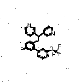 Fc1ccc(CC(c2cccnc2)c2cccnc2)c(-c2cccc(OC(F)(F)F)c2)c1